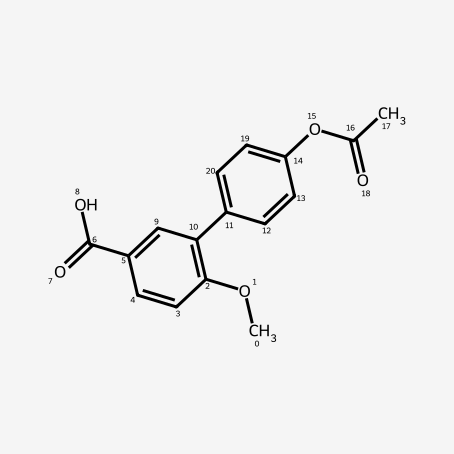 COc1ccc(C(=O)O)cc1-c1ccc(OC(C)=O)cc1